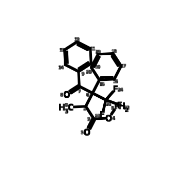 CC(C(=O)OP)C(C(=O)c1ccccc1)(c1ccccc1)C(F)(F)F